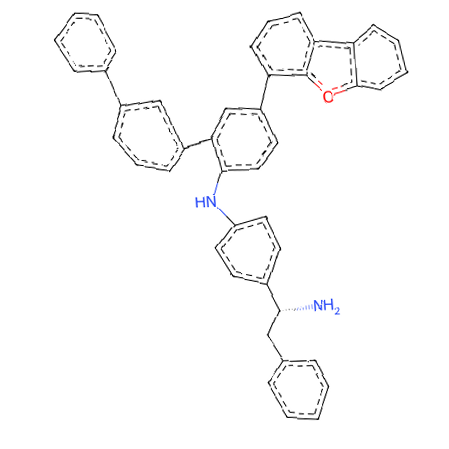 N[C@H](Cc1ccccc1)c1ccc(Nc2ccc(-c3cccc4c3oc3ccccc34)cc2-c2cccc(-c3ccccc3)c2)cc1